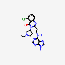 CCN1CC[C@H](n2c(CCNc3ncnc4[nH]cnc34)nc3cccc(Cl)c3c2=O)C1